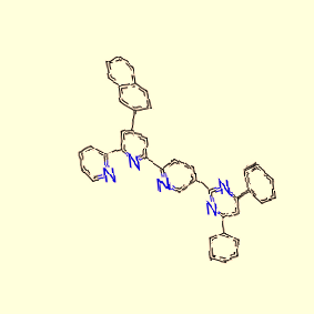 c1ccc(-c2cc(-c3ccccc3)nc(-c3ccc(-c4cc(-c5ccc6ccccc6c5)cc(-c5ccccn5)n4)nc3)n2)cc1